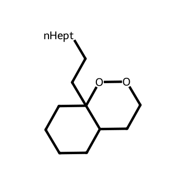 CCCCCCCCCC12CCCCC1CCOO2